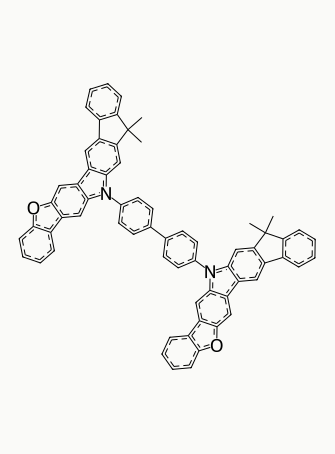 CC1(C)c2ccccc2-c2cc3c4cc5oc6ccccc6c5cc4n(-c4ccc(-c5ccc(-n6c7cc8c(cc7c7cc9oc%10ccccc%10c9cc76)-c6ccccc6C8(C)C)cc5)cc4)c3cc21